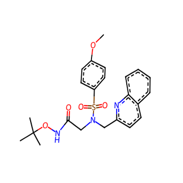 COc1ccc(S(=O)(=O)N(CC(=O)NOC(C)(C)C)Cc2ccc3ccccc3n2)cc1